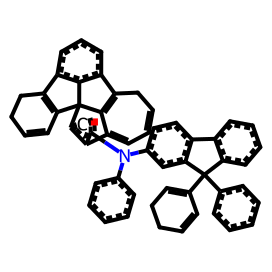 C1=CCC2=C3C(=C1)c1c(N(c4ccccc4)c4ccc5c(c4)C(C4=CCCC=C4)(c4ccccc4)c4ccccc4-5)cccc1C31C3=C(CCC=C3)c3cccc2c31